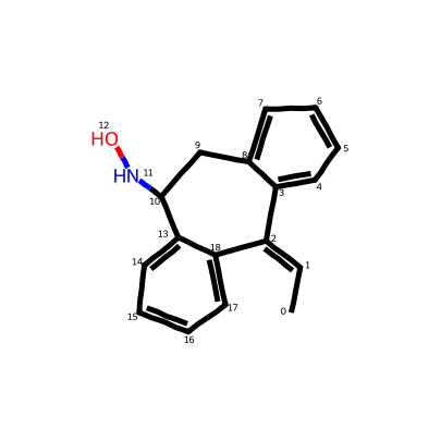 CC=C1c2ccccc2CC(NO)c2ccccc21